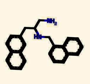 NCC(Cc1ccc2ccccc2c1)NCc1cccc2ccccc12